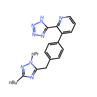 CCCCc1nc(Cc2ccc(-c3cccnc3-c3nnn[nH]3)cc2)n(CCC)n1